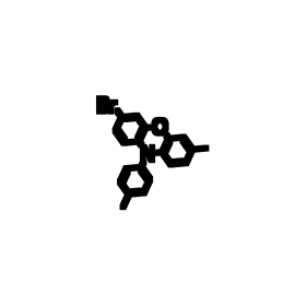 Cc1ccc(N2c3ccc(C)cc3Oc3cc(Br)ccc32)cc1